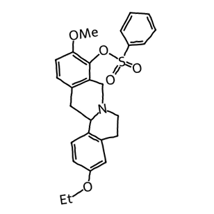 CCOc1ccc2c(c1)CCN1Cc3c(ccc(OC)c3OS(=O)(=O)c3ccccc3)CC21